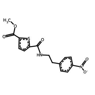 COC(=O)c1ccc(C(=O)NCCc2ccc([N+](=O)[O-])cc2)s1